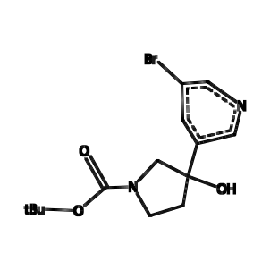 CC(C)(C)OC(=O)N1CCC(O)(c2cncc(Br)c2)C1